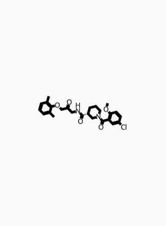 COc1ccc(Cl)cc1C(=O)N1CCC[C@@H](C(=O)NCC(=O)COc2c(C)cccc2C)C1